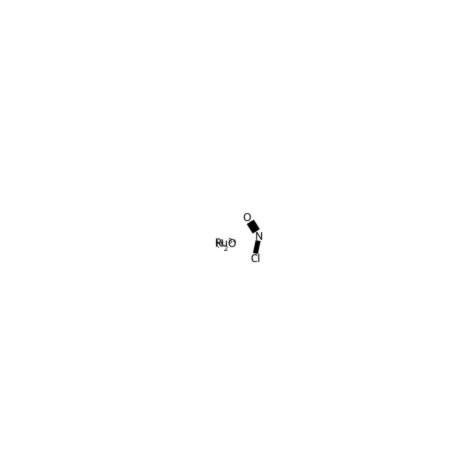 O.O=NCl.[Ru+3]